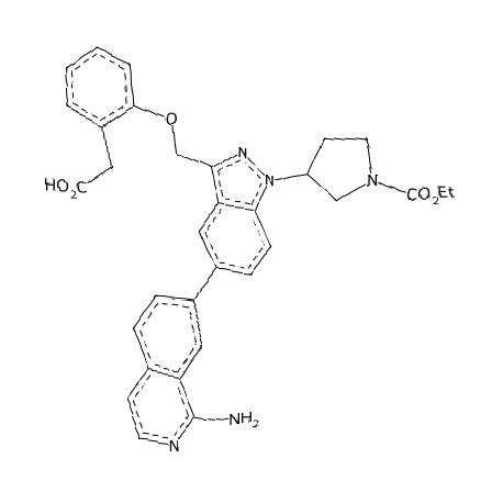 CCOC(=O)N1CCC(n2nc(COc3ccccc3CC(=O)O)c3cc(-c4ccc5ccnc(N)c5c4)ccc32)C1